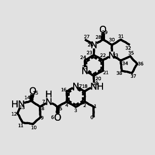 CCc1cc(C(=O)NC2CCCCNC2=O)cnc1Nc1cc2c(cn1)N(C)C(=O)C(CC)N2C1CCCC1